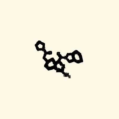 Nc1nc(C(=O)N2Cc3ccccc3C2)c2cc(CC(=O)N3CCCC3)ccc2n1